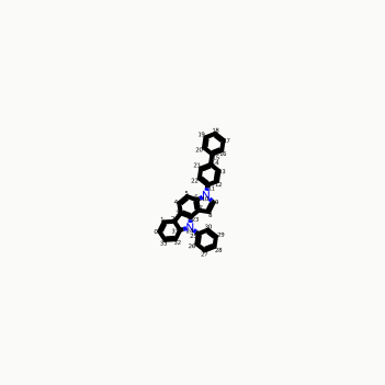 C1=CC2c3ccc4c(ccn4-c4ccc(-c5ccccc5)cc4)c3N(c3ccccc3)C2C=C1